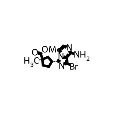 COC(=O)[C@]1(C)CC[C@@H](c2nc(Br)c3c(N)nccn23)C1